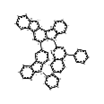 c1ccc(-c2nc(-n3c4ccccc4c4c5oc6ccccc6c5cc(-c5ccc6c(c5)c5ccccc5n6-c5ccccc5)c43)nc3ccccc23)cc1